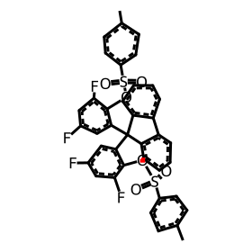 Cc1ccc(S(=O)(=O)Oc2c(F)cc(F)cc2C2(c3cc(F)cc(F)c3OS(=O)(=O)c3ccc(C)cc3)c3ccccc3-c3ccccc32)cc1